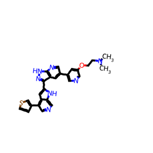 CN(C)CCOc1cncc(-c2cnc3[nH]nc(-c4cc5c(-c6ccsc6)cncc5[nH]4)c3c2)c1